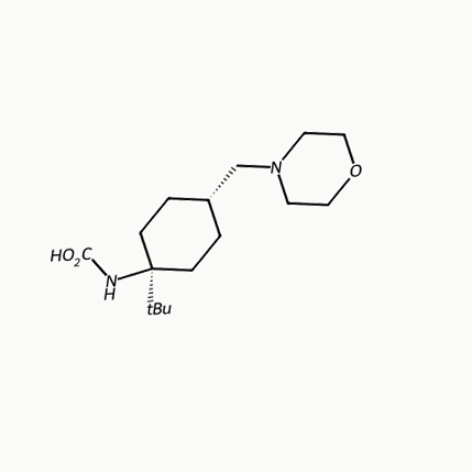 CC(C)(C)[C@]1(NC(=O)O)CC[C@H](CN2CCOCC2)CC1